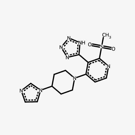 CS(=O)(=O)c1nccc(N2CCC(n3ccnc3)CC2)c1-c1nnn[nH]1